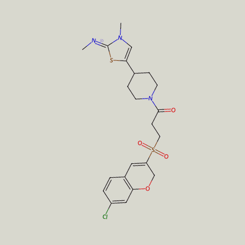 C/N=c1\sc(C2CCN(C(=O)CCS(=O)(=O)C3=Cc4ccc(Cl)cc4OC3)CC2)cn1C